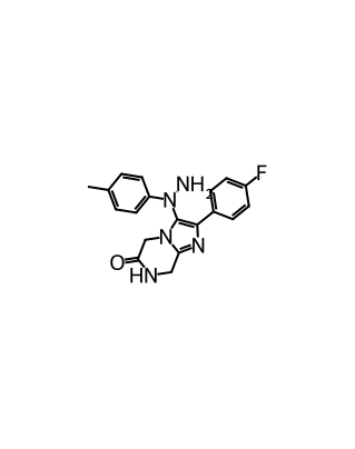 Cc1ccc(N(N)c2c(-c3ccc(F)cc3)nc3n2CC(=O)NC3)cc1